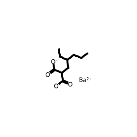 CCCC(CC)CC(C(=O)[O-])C(=O)[O-].[Ba+2]